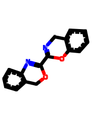 [CH]1N=C(C2=Nc3ccccc3CO2)Oc2ccccc21